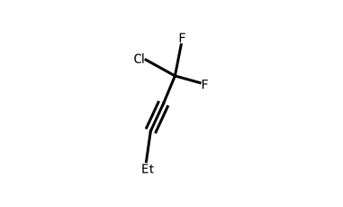 [CH2]CC#CC(F)(F)Cl